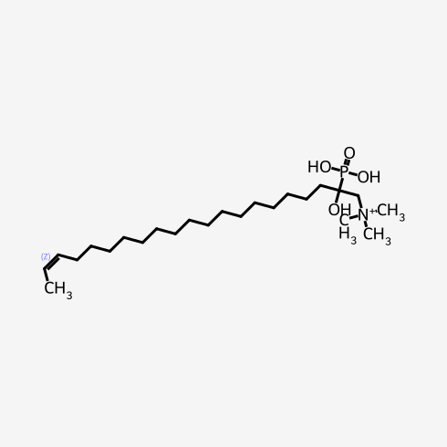 C/C=C\CCCCCCCCCCCCCCCCC(O)(C[N+](C)(C)C)P(=O)(O)O